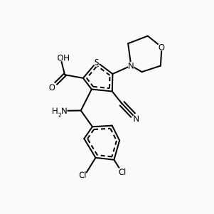 N#Cc1c(N2CCOCC2)sc(C(=O)O)c1C(N)c1ccc(Cl)c(Cl)c1